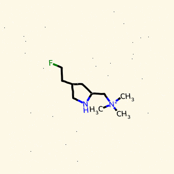 C[N+](C)(C)CC1CC(CCF)CN1